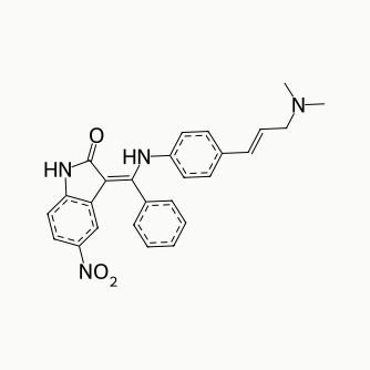 CN(C)C/C=C/c1ccc(N/C(=C2\C(=O)Nc3ccc([N+](=O)[O-])cc32)c2ccccc2)cc1